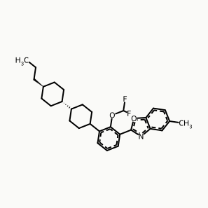 CCC[C@H]1CC[C@H](C2CCC(c3cccc(-c4nc5cc(C)ccc5o4)c3OC(F)F)CC2)CC1